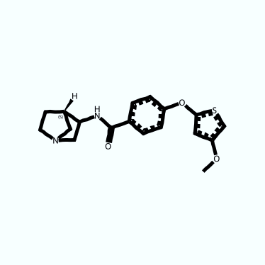 COc1csc(Oc2ccc(C(=O)NC3CN4CC[C@H]3C4)cc2)c1